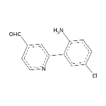 Nc1ccc(Cl)cc1-c1cc(C=O)ccn1